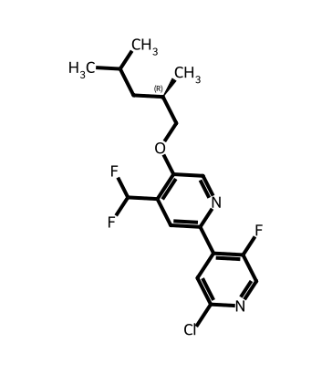 CC(C)C[C@@H](C)COc1cnc(-c2cc(Cl)ncc2F)cc1C(F)F